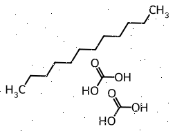 CCCCCCCCCCCC.O=C(O)O.O=C(O)O